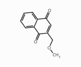 COCC1=CC(=O)c2ccccc2C1=O